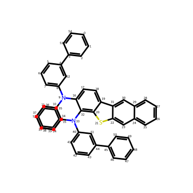 c1ccc(-c2cccc(N(c3ccccc3)c3ccc4c(sc5cc6ccccc6cc54)c3N(c3ccccc3)c3cccc(-c4ccccc4)c3)c2)cc1